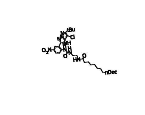 CCCCCCCCCCCCCCCCCC(=O)NCCNC(=O)Nc1ccc([N+](=O)[O-])cc1-c1nn2nc(C(C)(C)C)c(Cl)c2[nH]1